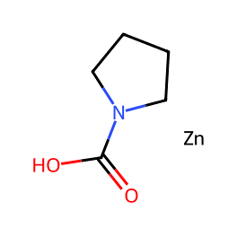 O=C(O)N1CCCC1.[Zn]